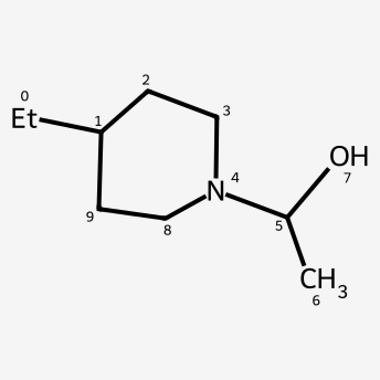 CCC1CCN(C(C)O)CC1